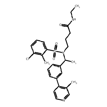 CCNC(=O)CCCN(C(C)c1cccc(-c2ccncc2C)c1)S(=O)(=O)c1cccc(Cl)c1C